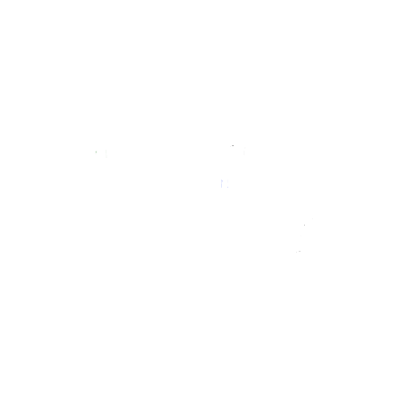 CN(CCCCl)c1ccccc1